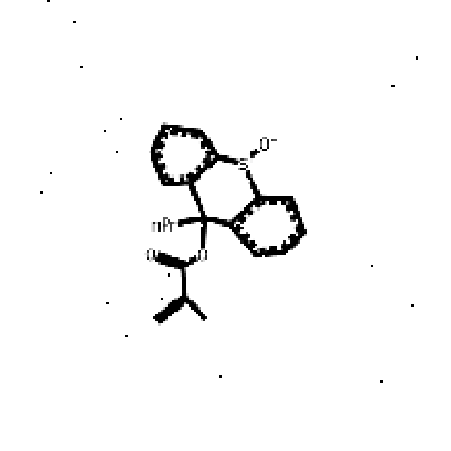 C=C(C)C(=O)OC1(CCC)c2ccccc2[S+]([O-])c2ccccc21